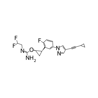 N/C(=N/CC(F)F)O[C@@H]1C[C@@H]1c1cc(-n2cc(C#CC3CC3)cn2)ccc1F